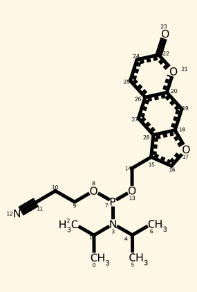 CC(C)N(C(C)C)P(OCCC#N)OCc1coc2cc3oc(=O)ccc3cc12